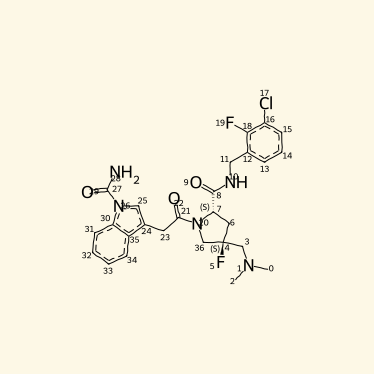 CN(C)C[C@@]1(F)C[C@@H](C(=O)NCc2cccc(Cl)c2F)N(C(=O)Cc2cn(C(N)=O)c3ccccc23)C1